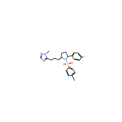 Cc1ccc(S(=O)(=O)N2C(CCCc3ncnn3C)CCC2c2ccc(F)cc2)cc1